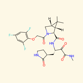 CNC(=O)C(=O)[C@H](C[C@@H]1CCNC1=O)NC(=O)[C@@H]1[C@@H]2[C@H](CN1C(=O)COc1c(F)cc(F)cc1F)C2(C)C